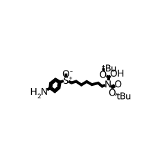 CC(C)(C)OC(=O)N(CCCCCCC[S+]([O-])c1ccc(N)cc1)C(O)OC(C)(C)C